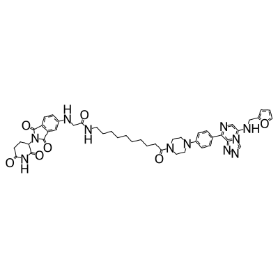 O=C(CNc1ccc2c(c1)C(=O)N(C1CCC(=O)NC1=O)C2=O)NCCCCCCCCCC(=O)N1CCN(c2ccc(-c3ncc(NCc4ccco4)n4cnnc34)cc2)CC1